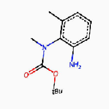 Cc1cccc(N)c1N(C)C(=O)OC(C)(C)C